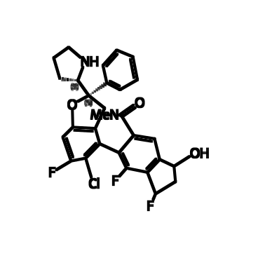 CNC(=O)c1cc2c(c(F)c1-c1c(Cl)c(F)cc3c1C[C@](c1ccccc1)([C@@H]1CCCN1)O3)C(F)CC2O